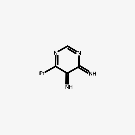 CC(C)C1=NC=NC(=N)C1=N